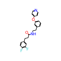 O=C(CCc1ccc(F)c(F)c1)NCCc1cccc(Oc2ccncc2)c1